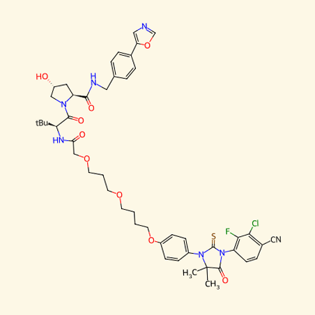 CC(C)(C)[C@H](NC(=O)COCCCOCCCCOc1ccc(N2C(=S)N(c3ccc(C#N)c(Cl)c3F)C(=O)C2(C)C)cc1)C(=O)N1C[C@H](O)C[C@H]1C(=O)NCc1ccc(-c2cnco2)cc1